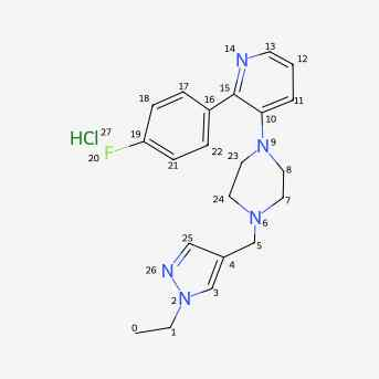 CCn1cc(CN2CCN(c3cccnc3-c3ccc(F)cc3)CC2)cn1.Cl